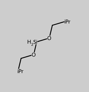 CC(C)CO[SiH2]OCC(C)C